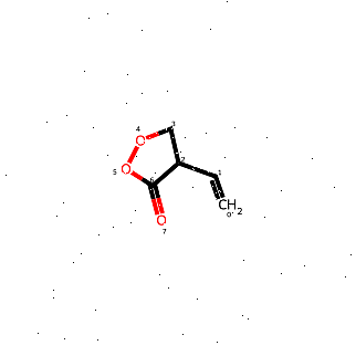 C=CC1COOC1=O